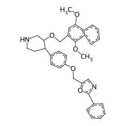 COc1cc(COC2CNCCC2c2ccc(OCc3cnc(-c4ccccc4)o3)cc2)c(OC)c2ccccc12